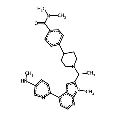 CNc1ccc(-c2ccnc3c2cc([C@@H](C)N2CCC(c4ccc(C(=O)N(C)C)cc4)CC2)n3C)nc1